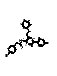 O=C(Cc1ccc(Br)cc1)Nc1ncc(-c2ccc(F)cc2)nc1CCc1ccccc1